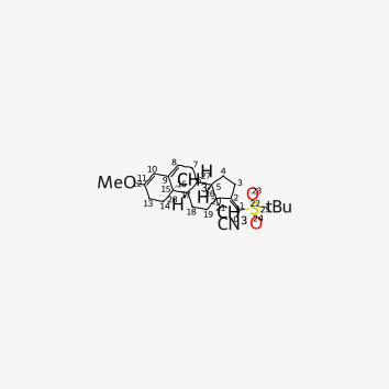 [C-]#[N+]C(=C1CC[C@H]2[C@@H]3CC=C4C=C(OC)CC[C@]4(C)[C@H]3CC[C@]12C)S(=O)(=O)C(C)(C)C